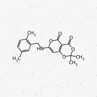 Cc1ccc(C)c(CNc2cc3c(c(=O)o2)C(=O)OC(C)(C)O3)c1